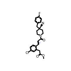 COC(=O)Cc1cc(Cl)ccc1/C=C/C(=O)N1CCC(C#N)(Cc2ccc(F)cc2)CC1